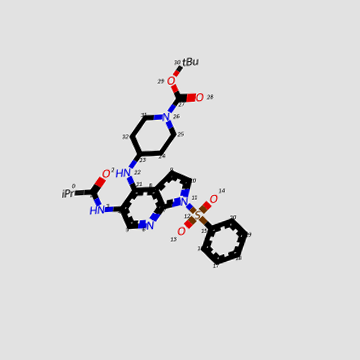 CC(C)C(=O)Nc1cnc2c(ccn2S(=O)(=O)c2ccccc2)c1NC1CCN(C(=O)OC(C)(C)C)CC1